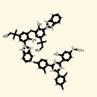 CC(C)(C)CC(C)(C)c1cc(Cc2cc(C(C)(C)CC(C)(C)C)cc(-n3nc4ccccc4n3)c2O)c(O)c(-n2nc3ccccc3n2)c1.CCCCCCCCOc1ccc(-c2nc(-c3ccc(C)cc3C)nc(-c3ccc(C)cc3C)n2)c(O)c1